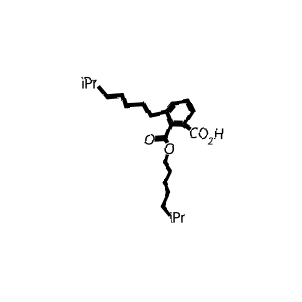 CC(C)CCCCCOC(=O)c1c(CCCCCC(C)C)cccc1C(=O)O